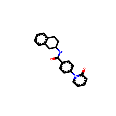 O=C(NC1[C]Cc2ccccc2C1)c1ccc(-n2ccccc2=O)cc1